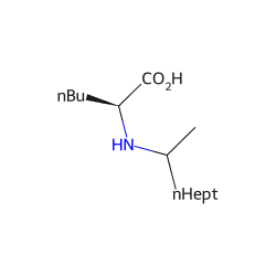 CCCCCCCC(C)N[C@@H](CCCC)C(=O)O